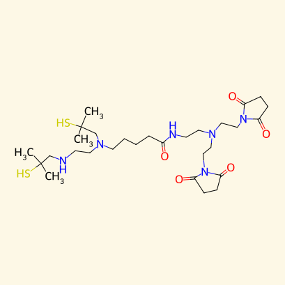 CC(C)(S)CNCCN(CCCCC(=O)NCCN(CCN1C(=O)CCC1=O)CCN1C(=O)CCC1=O)CC(C)(C)S